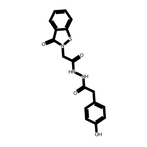 O=C(Cc1ccc(O)cc1)NNC(=O)Cn1sc2ccccc2c1=O